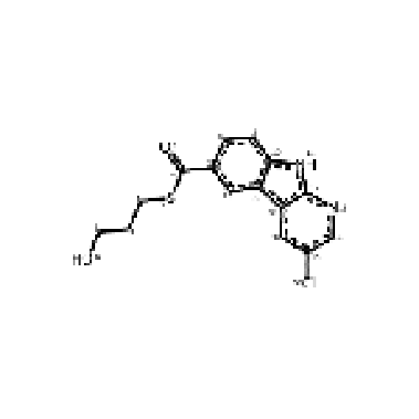 O=C(SCCCO)c1ccc2[nH]c3ncc(Cl)cc3c2c1